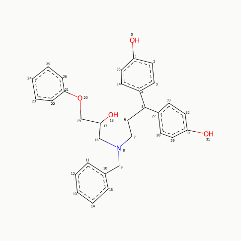 Oc1ccc(C(CCN(Cc2ccccc2)CC(O)COc2ccccc2)c2ccc(O)cc2)cc1